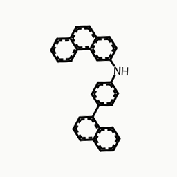 c1ccc2c(-c3ccc(Nc4ccc5ccc6ccccc6c5c4)cc3)cccc2c1